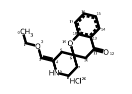 CCOC=C1CC2(CCN1)CC(=O)c1ccccc1O2.Cl